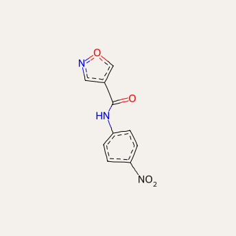 O=C(Nc1ccc([N+](=O)[O-])cc1)c1cnoc1